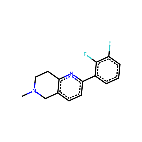 CN1CCc2nc(-c3cccc(F)c3F)ccc2C1